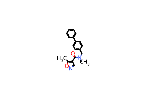 Cc1oncc1C(=O)N(C)Cc1ccc(-c2ccccc2)cc1